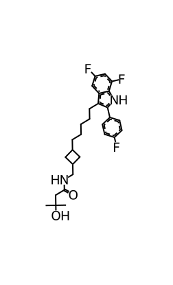 CC(C)(O)CC(=O)NCC1CC(CCCCCc2c(-c3ccc(F)cc3)[nH]c3c(F)cc(F)cc23)C1